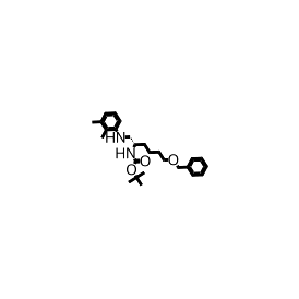 Cc1cccc(NC[C@H](CCCCOCc2ccccc2)NC(=O)OC(C)(C)C)c1C